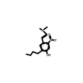 CCCCc1cc(/C=C/N(C)C)c([N+](=O)[O-])cc1O